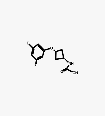 O=C(O)N[C@H]1C[C@H](Oc2cc(F)cc(F)c2)C1